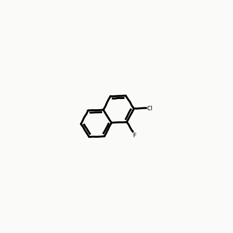 Fc1c(Cl)ccc2ccccc12